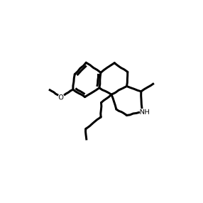 CCCCC12CCNC(C)C1CCc1ccc(OC)cc12